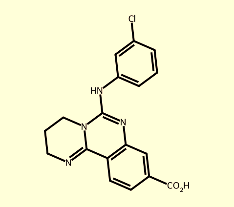 O=C(O)c1ccc2c(c1)N=C(Nc1cccc(Cl)c1)N1CCCN=C21